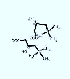 CC(=O)O[C@H](CC(=O)[O-])C[N+](C)(C)C.C[N+](C)(C)C[C@H](O)CC(=O)[O-]